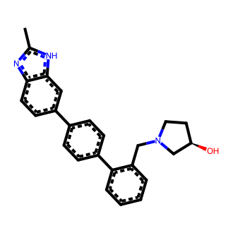 Cc1nc2ccc(-c3ccc(-c4ccccc4CN4CC[C@@H](O)C4)cc3)cc2[nH]1